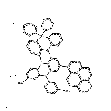 CC(C)(C)c1cccc(N2c3cc(C(C)(C)C)ccc3B3c4cccc5c4N(c4ccccc4[Si]5(c4ccccc4)c4ccccc4)c4cc(-c5ccc6ccc7cccc8ccc5c6c78)cc2c43)c1